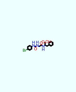 O=C(CNC(=O)Nc1ccc(Br)cc1)NC(Cc1ccccc1)C(=O)O